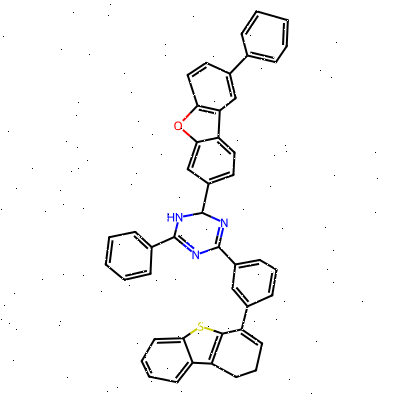 C1=C(c2cccc(C3=NC(c4ccc5c(c4)oc4ccc(-c6ccccc6)cc45)NC(c4ccccc4)=N3)c2)c2sc3ccccc3c2CC1